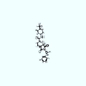 CC(C)(C)C1CCC(NC(=O)N2CCN3C(=O)N([C@H]4C[C@@H]4c4ccccc4)C(=O)[C@@H]3C2)CC1